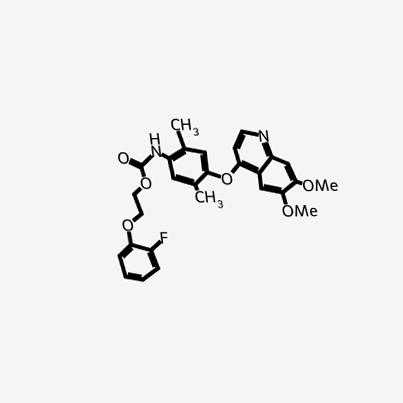 COc1cc2nccc(Oc3cc(C)c(NC(=O)OCCOc4ccccc4F)cc3C)c2cc1OC